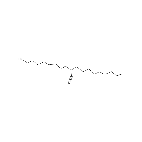 CCCCCCCCCC(C#N)CCCCCCCCO